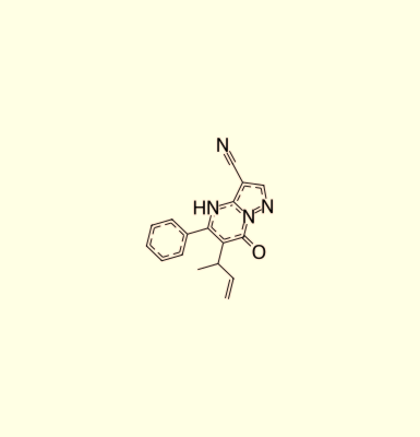 C=CC(C)c1c(-c2ccccc2)[nH]c2c(C#N)cnn2c1=O